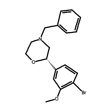 COc1cc([C@H]2CN(Cc3ccccc3)CCO2)ccc1Br